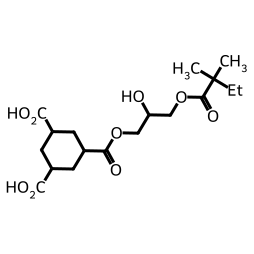 CCC(C)(C)C(=O)OCC(O)COC(=O)C1CC(C(=O)O)CC(C(=O)O)C1